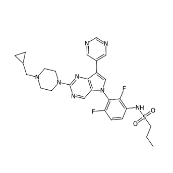 CCCS(=O)(=O)Nc1ccc(F)c(-n2cc(-c3cncnc3)c3nc(N4CCN(CC5CC5)CC4)ncc32)c1F